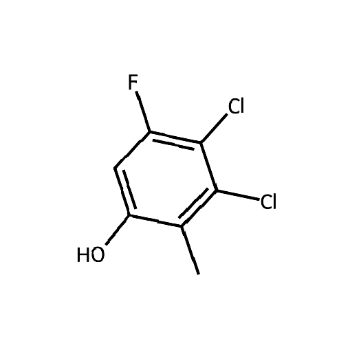 Cc1c(O)cc(F)c(Cl)c1Cl